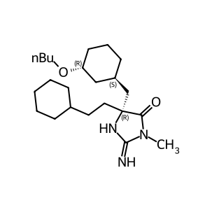 CCCCO[C@@H]1CCC[C@@H](C[C@@]2(CCC3CCCCC3)NC(=N)N(C)C2=O)C1